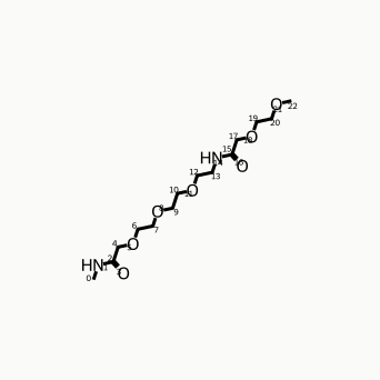 CNC(=O)COCCOCCOCCNC(=O)COCCOC